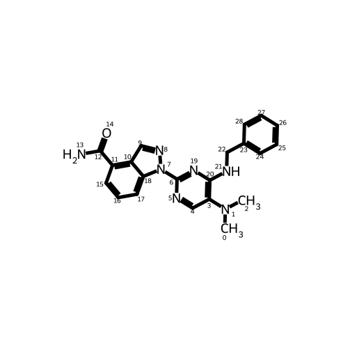 CN(C)c1cnc(-n2ncc3c(C(N)=O)cccc32)nc1NCc1ccccc1